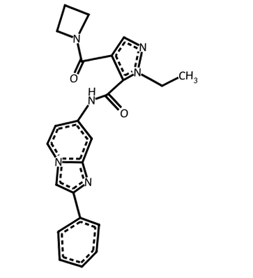 CCn1ncc(C(=O)N2CCC2)c1C(=O)Nc1ccn2cc(-c3ccccc3)nc2c1